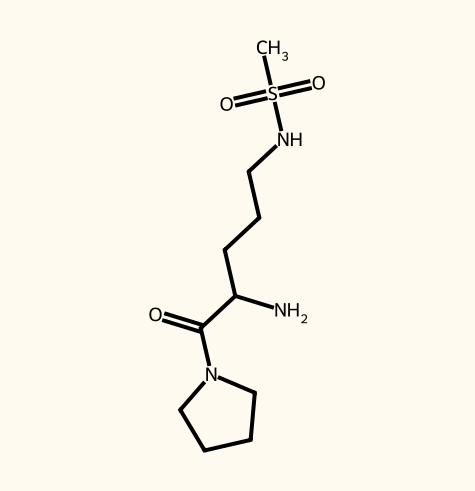 CS(=O)(=O)NCCCC(N)C(=O)N1CCCC1